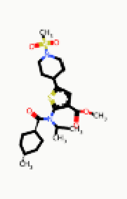 COC(=O)c1cc(C2CCN(S(C)(=O)=O)CC2)sc1N(C(=O)[C@H]1CC[C@H](C)CC1)C(C)C